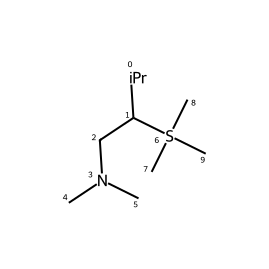 CC(C)C(CN(C)C)S(C)(C)C